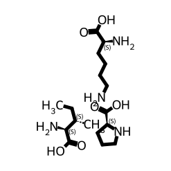 CC[C@H](C)[C@H](N)C(=O)O.NCCCC[C@H](N)C(=O)O.O=C(O)[C@@H]1CCCN1